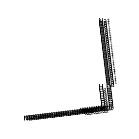 O.O.O.O.O.O.O.O.O.O.O.O.O.O.O.O.O.O.O.O.O.O.O.O.O.[Na+].[Na+].[Na+].[Na+].[Na+].[Na+].[Na+].[Na+].[Na+].[Na+].[Na+].[Na+].[Na+].[Na+].[Na+].[Na+].[Na+].[Na+].[Na+].[Na+].[Na+].[Na+].[Na+].[Na+].[Na+].[Na+].[Na+].[Na+].[Na+].[Na+].[Na+].[Na+].[Na+].[Na+].[Na+].[Na+].[Na+].[Na+].[Na+].[Na+].[Na+].[Na+].[Na+].[Na+].[Na+].[Na+].[Na+].[Na+].[Na+].[Na+].[Na+].[Na+].[Na+].[Na+].[Na+].[Na+].[Na+].[Na+].[Na+].[Na+].[Na+].[Na+].[Na+].[Na+].[Na+].[Na+].[Na+].[Na+].[Na+].[Na+].[Na+].[Na+].[Na+]